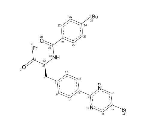 CC(C)C(=O)[C@H](Cc1ccc(-c2ncc(Br)cn2)cc1)NC(=O)c1ccc(C(C)(C)C)cc1